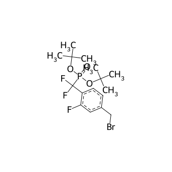 CC(C)(C)OP(=O)(OC(C)(C)C)C(F)(F)c1ccc(CBr)cc1F